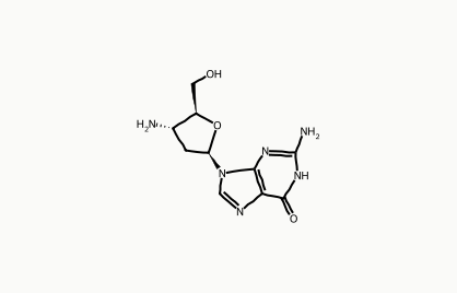 Nc1nc2c(ncn2[C@H]2C[C@H](N)[C@@H](CO)O2)c(=O)[nH]1